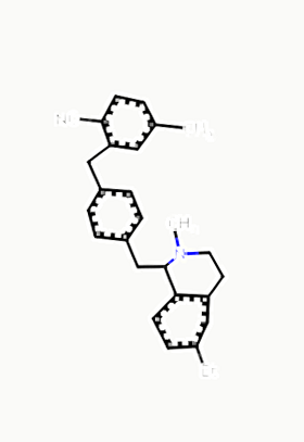 CCc1ccc2c(c1)CCN(C)C2Cc1ccc(Cc2cc(C)ccc2C#N)cc1